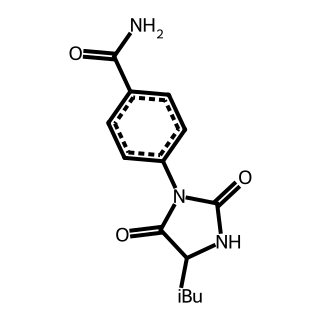 CCC(C)C1NC(=O)N(c2ccc(C(N)=O)cc2)C1=O